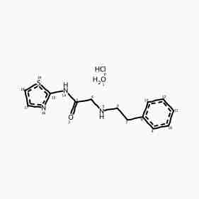 Cl.O.O=C(CNCCc1ccccc1)Nc1nccs1